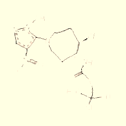 Cn1ncc([N+](=O)[O-])c1N1CC[C@@H](O)[C@H](NC(=O)OC(C)(C)C)CC1